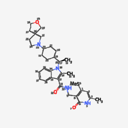 CSc1cc(C)[nH]c(=O)c1CNC(=O)c1c(C)n([C@H](C)C2CCC(N3CCC4(CCOC4)C3)CC2)c2ccccc12